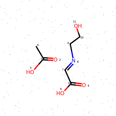 CC(=O)O.O=C(O)C=NCCO